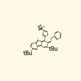 CC(C)(C)c1ccc2c(c1)=c1cc(C(C)(C)C)c(=CCc3ccccc3)c(C3=CC([Si](C)(C)C)=CC3)c1[C]=2